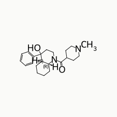 CN1CCC(C(=O)N2CCC(O)(c3ccccc3)[C@H]3CCCC[C@H]32)CC1